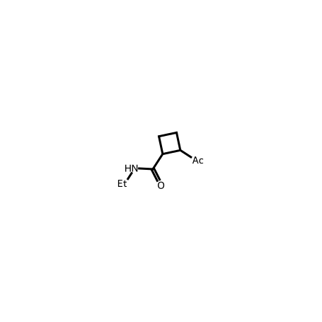 CCNC(=O)C1CCC1C(C)=O